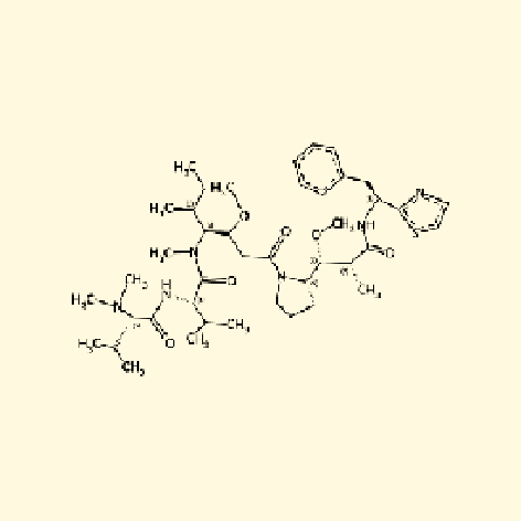 CC[C@H](C)[C@@H](C(CC(=O)N1CCC[C@H]1[C@H](OC)[C@@H](C)C(=O)N[C@@H](Cc1ccccc1)c1nccs1)OC)N(C)C(=O)[C@@H](NC(=O)[C@H](C(C)C)N(C)C)C(C)C